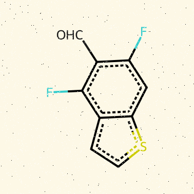 O=Cc1c(F)cc2sccc2c1F